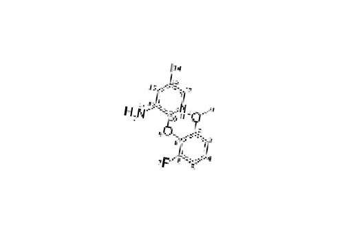 COc1cccc(F)c1Oc1ncc(I)cc1N